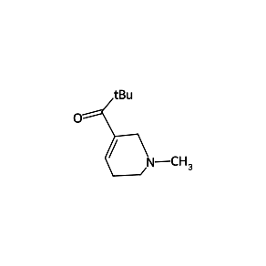 CN1CCC=C(C(=O)C(C)(C)C)C1